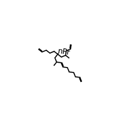 C=CCCCCC=CC(C)CC(CCC)(CCCC=C)CC(C)CC=C